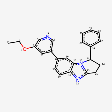 CCOc1cncc(-c2ccc3nc4n(c3c2)C(c2ccccc2)CC4)c1